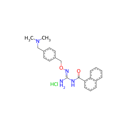 CN(C)Cc1ccc(CON=C(N)NC(=O)c2cccc3ccccc23)cc1.Cl